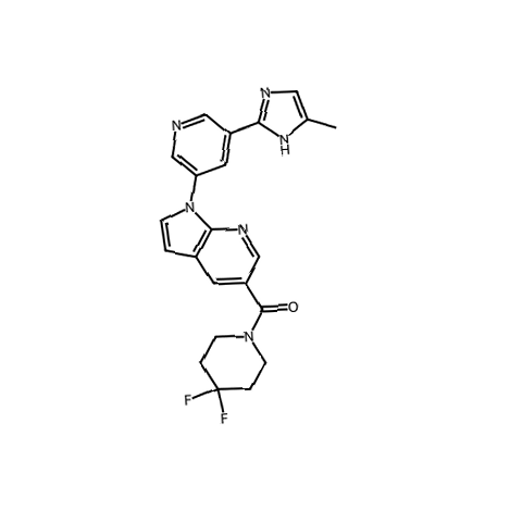 Cc1cnc(-c2cncc(-n3ccc4cc(C(=O)N5CCC(F)(F)CC5)cnc43)c2)[nH]1